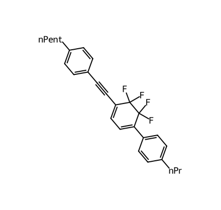 CCCCCc1ccc(C#CC2=CC=C(c3ccc(CCC)cc3)C(F)(F)C2(F)F)cc1